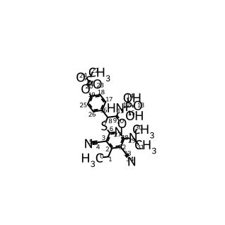 CCc1c(C#N)c(SC(C(=O)NP(=O)(O)O)c2ccc(OS(C)(=O)=O)cc2)nc(N(C)C)c1C#N